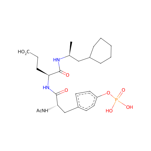 CC(=O)N[C@@H](Cc1ccc(OP(=O)(O)O)cc1)C(=O)N[C@@H](CCC(=O)O)C(=O)N[C@@H](C)CC1CCCCC1